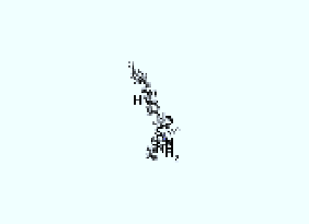 CCN1C(=O)[C@@H](CNc2ccc(NC(=O)CCN3CCN(C)CC3)cc2)S/C1=C(/N)C(=O)NC1CCC1